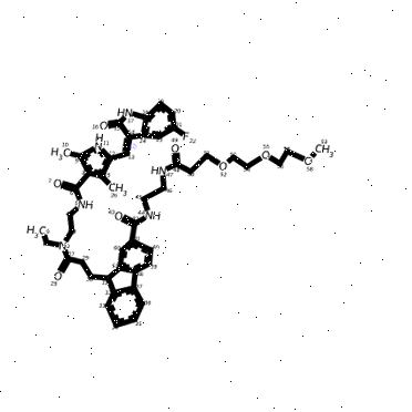 CCN(CCNC(=O)c1c(C)[nH]c(/C=C2\C(=O)Nc3ccc(F)cc32)c1C)C(=O)CCC1c2ccccc2-c2ccc(C(=O)NCCNC(=O)CCOCCOCCOC)cc21